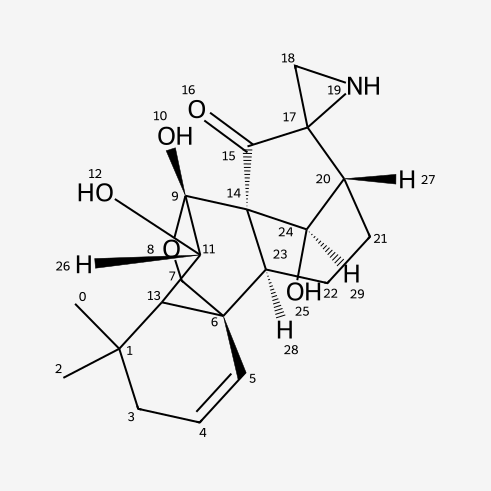 CC1(C)CC=C[C@]23CO[C@@](O)([C@@H](O)C12)[C@]12C(=O)C4(CN4)[C@H](CC[C@H]13)[C@H]2O